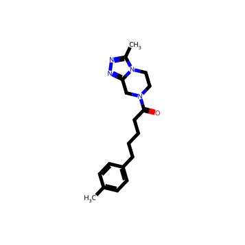 Cc1ccc(CCCCC(=O)N2CCn3c(C)nnc3C2)cc1